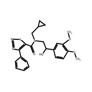 COc1ccc(C(O)CN(CC2CC2)C(=O)c2snnc2-c2ccccc2)cc1OC